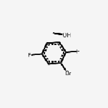 CO.Fc1ccc(F)c(Br)c1